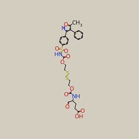 Cc1onc(-c2ccc(S(=O)(=O)NC(=O)OCCSSCCOC(=O)NC(C=O)CCC(=O)O)cc2)c1-c1ccccc1